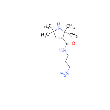 CC1(C)C=C(C(=O)NCCCN)C(C)(C)N1